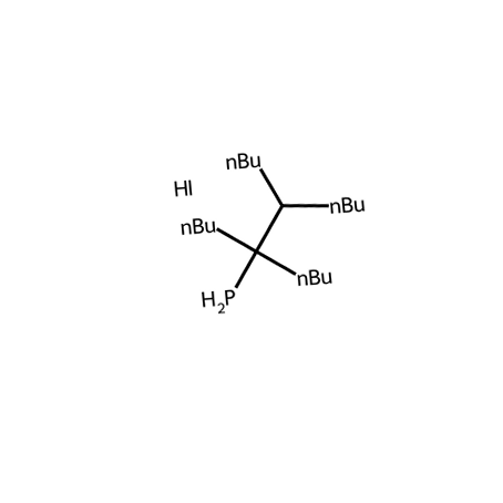 CCCCC(CCCC)C(P)(CCCC)CCCC.I